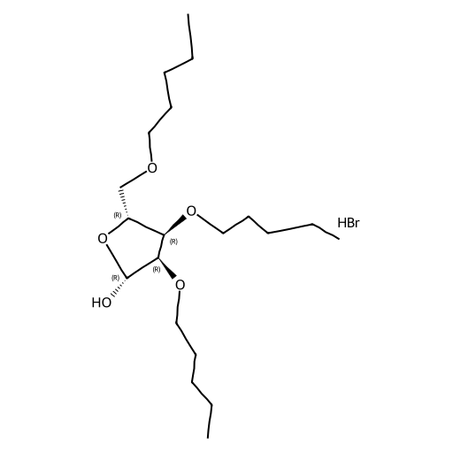 Br.CCCCCOC[C@H]1O[C@@H](O)[C@H](OCCCCC)[C@@H]1OCCCCC